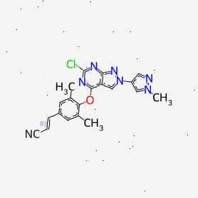 Cc1cc(/C=C/C#N)cc(C)c1Oc1nc(Cl)nc2nn(-c3cnn(C)c3)cc12